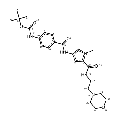 Cn1cc(NC(=O)c2ccc(NC(=O)OC(C)(C)C)cc2)cc1C(=O)NCCN1CCOCC1